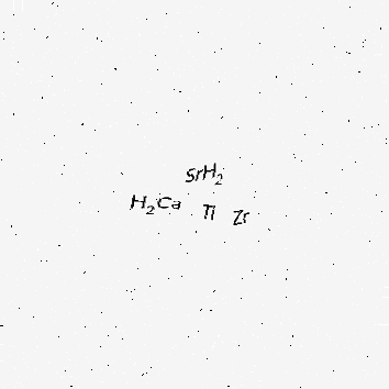 [CaH2].[SrH2].[Ti].[Zr]